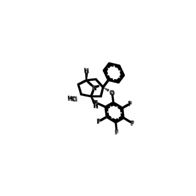 CN1[C@@H]2CC[C@H]1C[C@](Oc1c(F)c(F)c(F)c(F)c1F)(c1ccccc1)C2.Cl